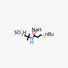 CCCCSCCC(=O)NC(C)(C)CS(=O)(=O)O.[NaH]